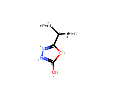 CCCCCC(CCCCC)c1nnc(O)o1